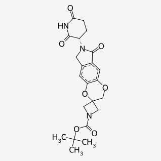 CC(C)(C)OC(=O)N1CC2(COc3cc4c(cc3O2)CN([C@H]2CCC(=O)NC2=O)C4=O)C1